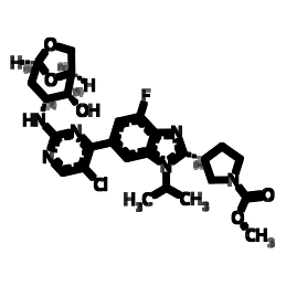 COC(=O)N1CC[C@@H](c2nc3c(F)cc(-c4nc(N[C@@H]5C[C@H]6OC[C@H](O6)[C@H]5O)ncc4Cl)cc3n2C(C)C)C1